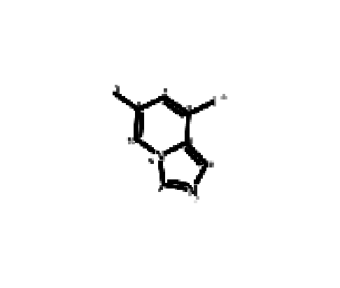 Cc1cc(I)c2cncn2c1